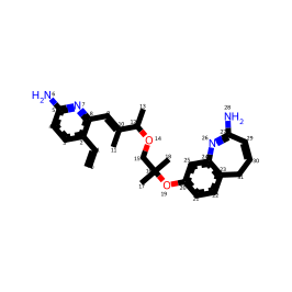 C=Cc1ccc(N)nc1/C=C(\C)C(C)OCC(C)(C)Oc1ccc2c(c1)N=C(N)C=CC2